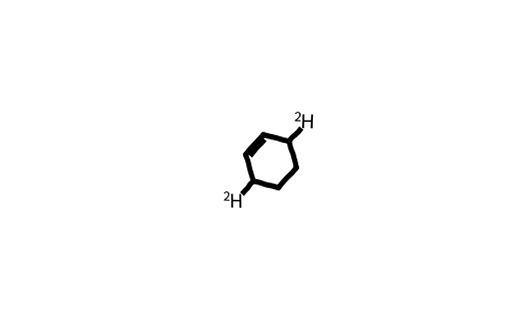 [2H]C1C=CC([2H])CC1